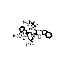 CCOC(=O)C1(Cc2ccccc2)CCCN(C(=O)[C@@H](CC2Cc3ccccc3C2)NC(=O)C(C)(C)N)C1.Cl